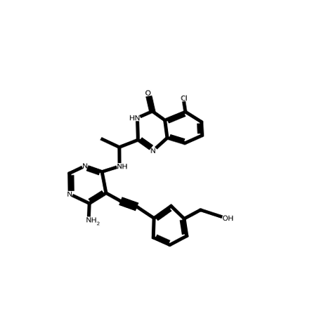 CC(Nc1ncnc(N)c1C#Cc1cccc(CO)c1)c1nc2cccc(Cl)c2c(=O)[nH]1